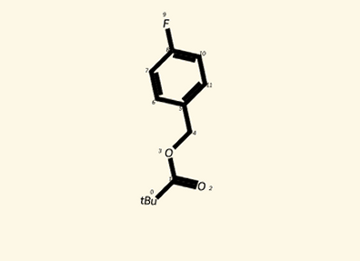 CC(C)(C)C(=O)OCc1ccc(F)cc1